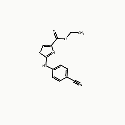 CCOC(=O)c1csc(Nc2ccc(C#N)cc2)n1